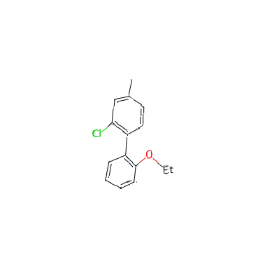 CCOc1[c]cccc1-c1ccc(C)cc1Cl